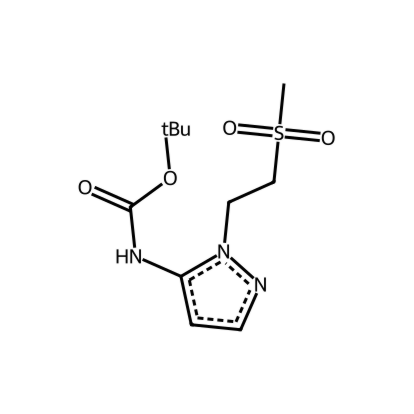 CC(C)(C)OC(=O)Nc1ccnn1CCS(C)(=O)=O